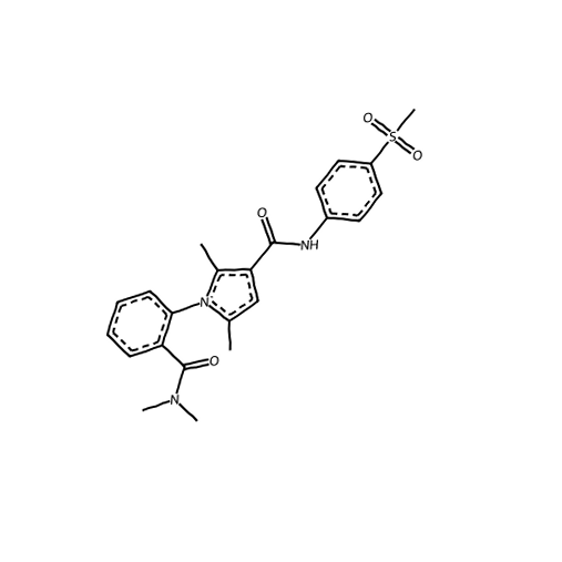 Cc1cc(C(=O)Nc2ccc(S(C)(=O)=O)cc2)c(C)n1-c1ccccc1C(=O)N(C)C